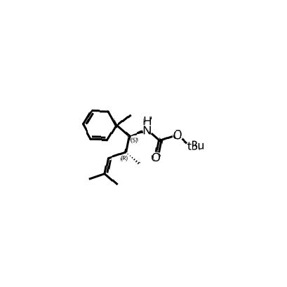 CC(C)=C[C@@H](C)[C@H](NC(=O)OC(C)(C)C)C1(C)C=CC=CC1